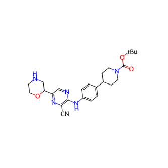 CC(C)(C)OC(=O)N1CCC(c2ccc(Nc3ncc(C4CNCCO4)nc3C#N)cc2)CC1